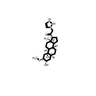 CO[C@H]1C[C@@]2(C)[C@@H](CC[C@@H]3[C@@H]2CC[C@]2(C)[C@@H](C(=O)CN4C=CNN4)CC[C@@H]32)C[C@@H]1O